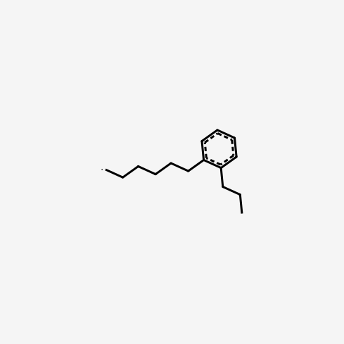 [CH2]CCCCCc1ccccc1CCC